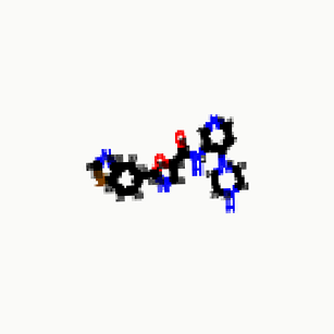 O=C(Nc1cnccc1N1CCNCC1)c1cnc(-c2ccc3scnc3c2)o1